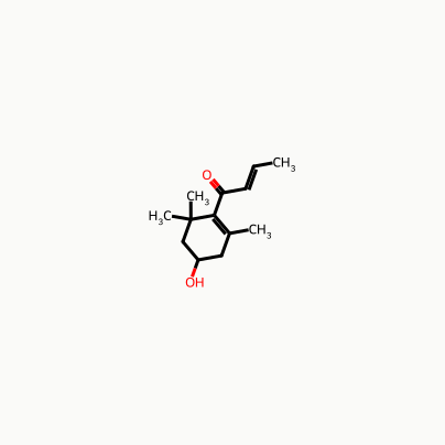 C/C=C/C(=O)C1=C(C)CC(O)CC1(C)C